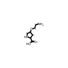 NCCOC1CNC(C(=O)O)C1